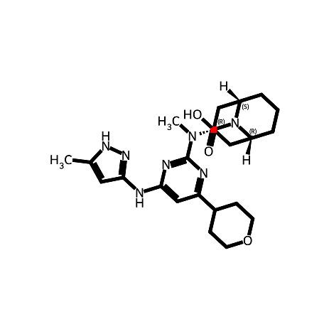 Cc1cc(Nc2cc(C3CCOCC3)nc(N(C)[C@H]3C[C@H]4CCC[C@@H](C3)N4C(=O)O)n2)n[nH]1